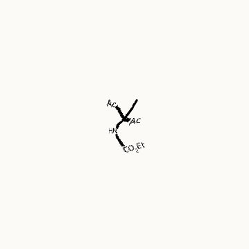 CCOC(=O)NC(C)(C(C)=O)C(C)=O